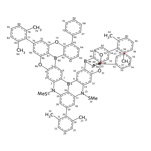 CSN1c2cc3c(cc2B2c4cc5c(cc4N(SC)c4cc(-c6c(C)cccc6C)cc1c42)Oc1cc(-c2c(C)cccc2C)cc2c1B5c1cccc(-c4ccccc4)c1O2)B1c2cccc(-c4ccccc4)c2Oc2cc(-c4c(C)cccc4C)cc(c21)O3